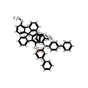 FC(F)(F)Oc1cc(OC(F)(F)F)c2c(c1)C1(c3ccccc3-2)c2cccc(OC(F)(F)F)c2-c2cccc(-c3ccc(N(c4ccc(-c5ccccc5)cc4)c4cccc(-c5ccccc5)c4)c(C(F)(F)F)c3)c21